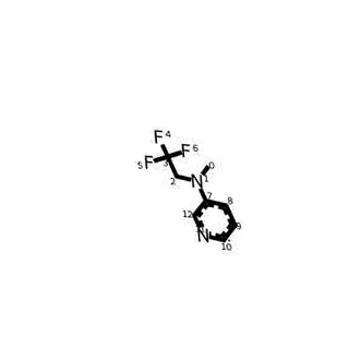 CN(CC(F)(F)F)c1cc[c]nc1